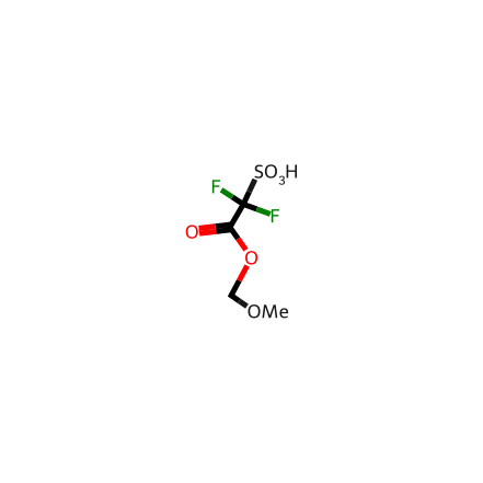 COCOC(=O)C(F)(F)S(=O)(=O)O